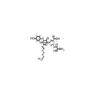 CCCCC/C=C/C(=O)N[C@@H](Cc1ccc(O)cc1)C(=O)N[C@H](/C=C/C(=O)O)CCCNC(=N)N